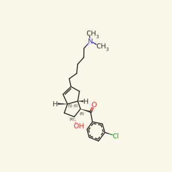 CN(C)CCCCCC1=C[C@H]2C[C@@H](O)[C@H](C(=O)c3cccc(Cl)c3)[C@H]2C1